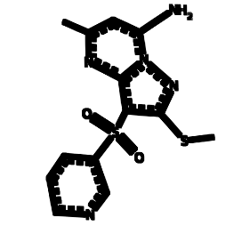 CSc1nn2c(N)cc(C)nc2c1S(=O)(=O)c1cccnc1